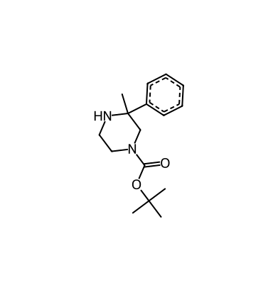 CC(C)(C)OC(=O)N1CCNC(C)(c2ccccc2)C1